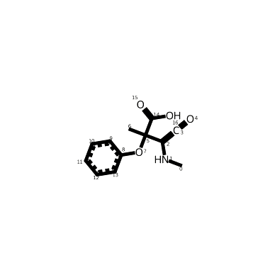 CNC(=C=O)C(C)(Oc1ccccc1)C(=O)O